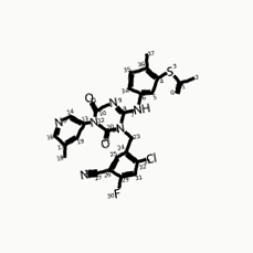 C=C(C)Sc1cc(Nc2nc(=O)n(-c3cncc(C)c3)c(=O)n2Cc2cc(C#N)c(F)cc2Cl)ccc1C